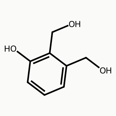 OCc1cccc(O)c1CO